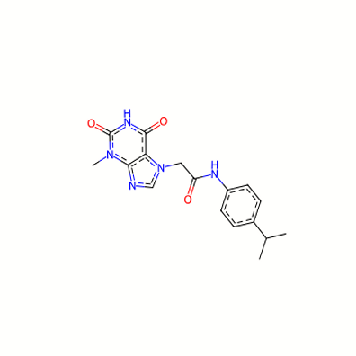 CC(C)c1ccc(NC(=O)Cn2cnc3c2c(=O)[nH]c(=O)n3C)cc1